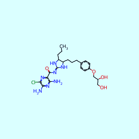 CCCC1N/C(=N\C(=O)c2nc(Cl)c(N)nc2N)NC1CCCc1ccc(OC[C@@H](O)CO)cc1